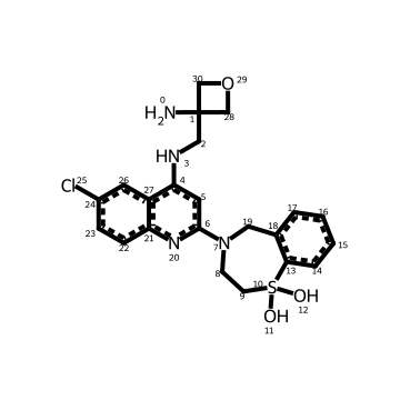 NC1(CNc2cc(N3CCS(O)(O)c4ccccc4C3)nc3ccc(Cl)cc23)COC1